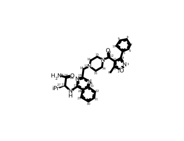 Cc1onc(-c2ccccc2)c1C(=O)N1CCN(Cc2nc(N[C@H](C(N)=O)C(C)C)c3ccccc3n2)CC1